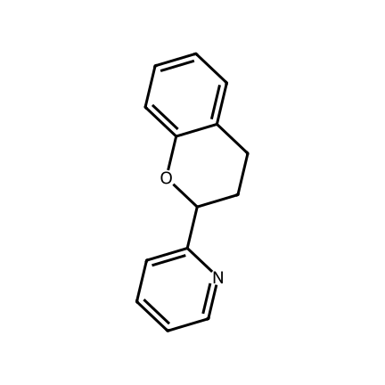 c1ccc(C2CCc3ccccc3O2)nc1